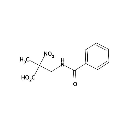 CC(CNC(=O)c1ccccc1)(C(=O)O)[N+](=O)[O-]